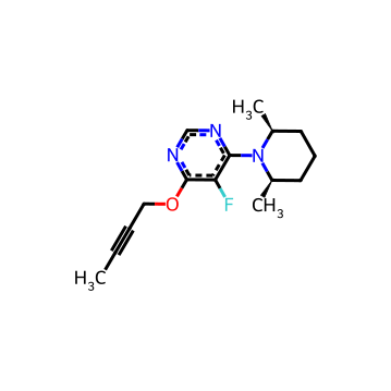 CC#CCOc1ncnc(N2[C@H](C)CCC[C@@H]2C)c1F